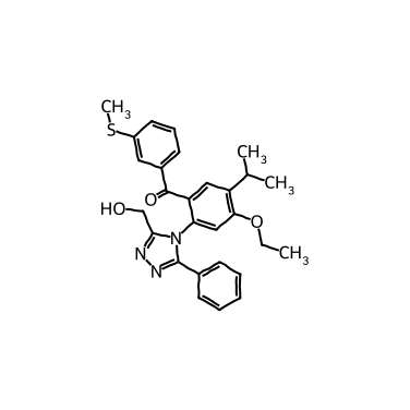 CCOc1cc(-n2c(CO)nnc2-c2ccccc2)c(C(=O)c2cccc(SC)c2)cc1C(C)C